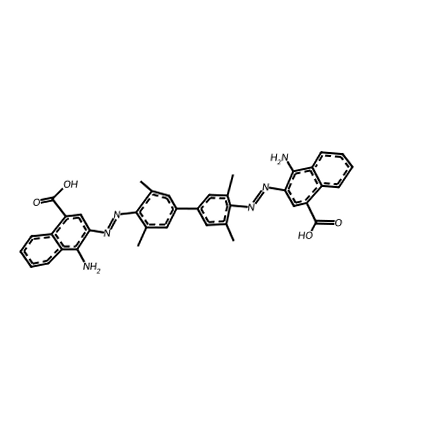 Cc1cc(-c2cc(C)c(/N=N/c3cc(C(=O)O)c4ccccc4c3N)c(C)c2)cc(C)c1/N=N/c1cc(C(=O)O)c2ccccc2c1N